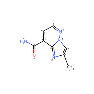 Cc1cn2nccc(C(N)=O)c2n1